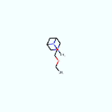 CCOCCN1C2CC1CN(C)C2